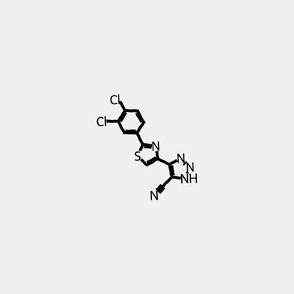 N#Cc1[nH]nnc1-c1csc(-c2ccc(Cl)c(Cl)c2)n1